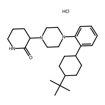 CC(C)(C)C1CCC(c2ccccc2N2CCN(C3CCCNC3=O)CC2)CC1.Cl